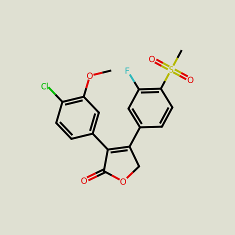 COc1cc(C2=C(c3ccc(S(C)(=O)=O)c(F)c3)COC2=O)ccc1Cl